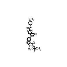 CN1CCC(CNc2ncc3c(-c4ccn5ncc(C(=O)NCC(C)(C)F)c5c4)c[nH]c3n2)CC1